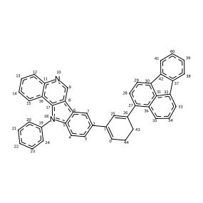 C1=C(c2ccc3c(c2)c2cnc4ccccc4c2n3-c2ccccc2)C=C(c2ccc3c4c(cccc24)-c2ccccc2-3)CC1